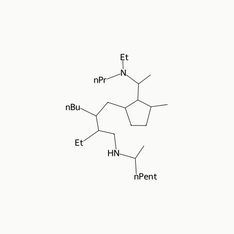 CCCCCC(C)NCC(CC)C(CCCC)CC1CCC(C)C1C(C)N(CC)CCC